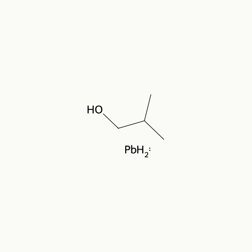 CC(C)CO.[PbH2]